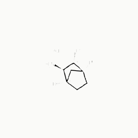 CC(C)[C@@H]1[C@H]2CC[C@H](C2)[C@H]1N.Cl